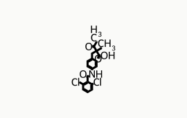 CCC(=O)C(CC)(Cc1ccc(NC(=O)c2c(Cl)cccc2Cl)cc1)C(=O)O